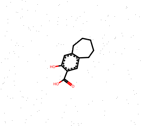 O=C(O)c1cc2c(cc1O)CCCCC2